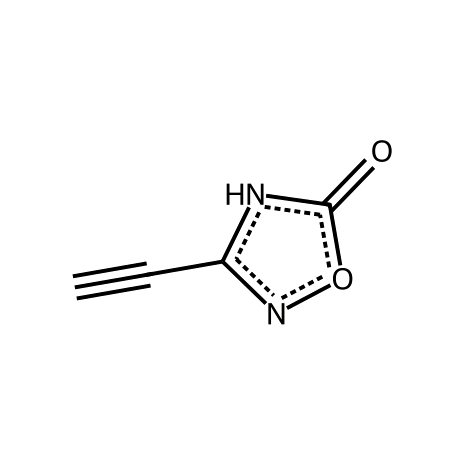 C#Cc1noc(=O)[nH]1